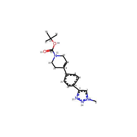 Cn1cc(-c2ccc(C3=CCN(C(=O)OC(C)(C)C)CC3)cc2)nn1